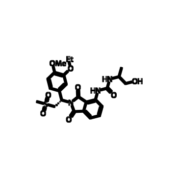 CCOc1cc([C@@H](CS(C)(=O)=O)N2C(=O)c3cccc(NC(=O)NC(C)CO)c3C2=O)ccc1OC